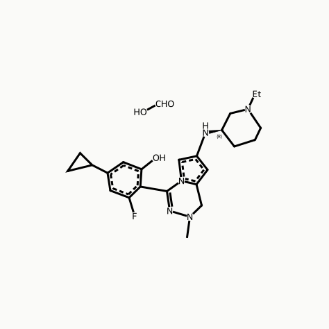 CCN1CCC[C@@H](Nc2cc3n(c2)C(c2c(O)cc(C4CC4)cc2F)=NN(C)C3)C1.O=CO